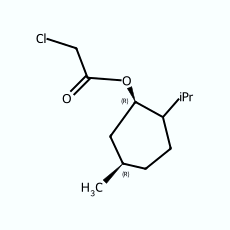 CC(C)C1CC[C@@H](C)C[C@H]1OC(=O)CCl